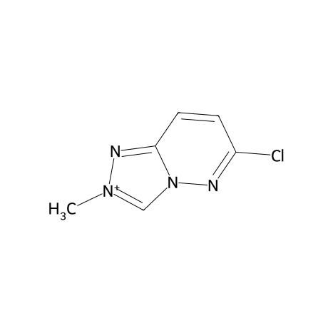 C[n+]1cn2nc(Cl)ccc2n1